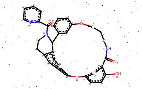 O=C1NCCCOc2cccc(c2)C2c3ccc(cc3CCN2C(=O)c2ccccn2)Oc2ccc(O)c1c2